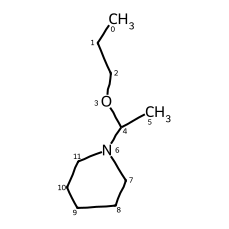 CCCOC(C)N1CCCCC1